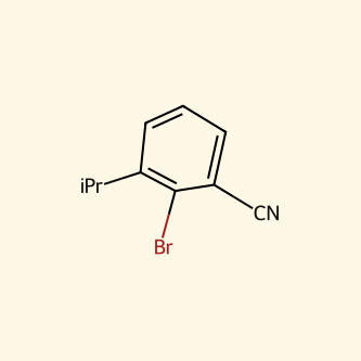 [CH2]C(C)c1cccc(C#N)c1Br